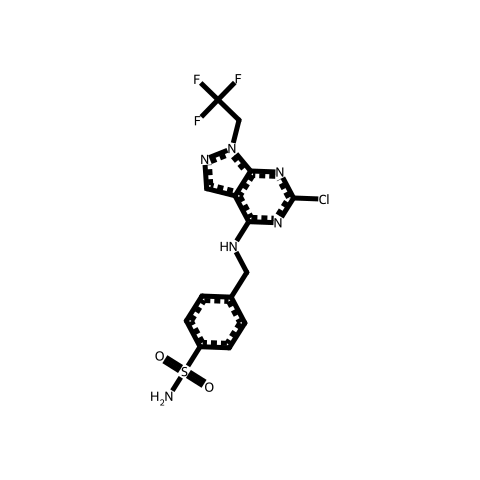 NS(=O)(=O)c1ccc(CNc2nc(Cl)nc3c2cnn3CC(F)(F)F)cc1